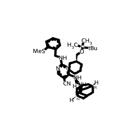 CSc1ccccc1CNc1ncc(C#N)c(NC[C@]23CC4C[C@H](C2)[C@@H](NC[C@H]2CC[C@H](CO[Si](C)(C)C(C)(C)C)CC2)[C@@H](C4)C3)n1